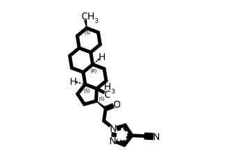 C[C@H]1CCC2C(CCC3[C@@H]2CCC2(C)[C@@H](C(=O)Cn4cc(C#N)cn4)CC[C@@H]32)C1